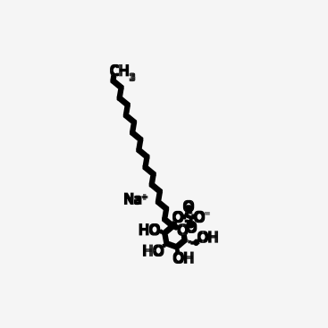 CCCCCCCCCCCCCCCCCCC1(OS(=O)(=O)[O-])O[C@H](CO)[C@@H](O)[C@H](O)[C@H]1O.[Na+]